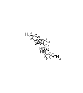 COc1cccc(NC(=O)Nc2ccccc2NS(=O)(=O)c2ccc(C)cc2)c1